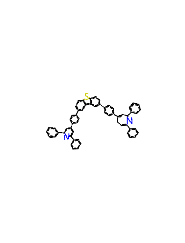 C1=C(c2ccc(-c3ccc4sc5ccc(-c6ccc(-c7cc(-c8ccccc8)nc(-c8ccccc8)c7)cc6)cc5c4c3)cc2)CC=C(c2ccccc2)N=C1c1ccccc1